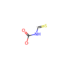 [O]C(=O)N[C]=S